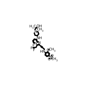 COc1cc(S(C)(=O)=O)ccc1NCC#Cc1nc2c(NC3CCN(CC(C)(C)O)CC3)cccn2c1CC(F)(F)F